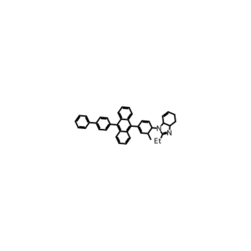 CCC1=NC2CCC=CC2N1C1C=CC(c2c3ccccc3c(-c3ccc(-c4ccccc4)cc3)c3ccccc23)=CC1C